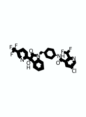 O=C(N[C@H]1CC[C@H](CN2C(=O)C(O)(c3ccc(C(F)(F)F)cn3)c3ccccc32)CC1)c1cc(Cl)cnc1C(F)F